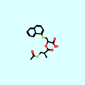 CC(=O)SC[C@H](C)C(=O)OC(CSc1cccc2ccccc12)C(=O)O